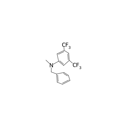 CN(Cc1ccccc1)c1cc(C(F)(F)F)cc(C(F)(F)F)c1